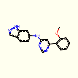 COc1ccccc1-c1cc(Nc2ccc3cn[nH]c3c2)ncn1